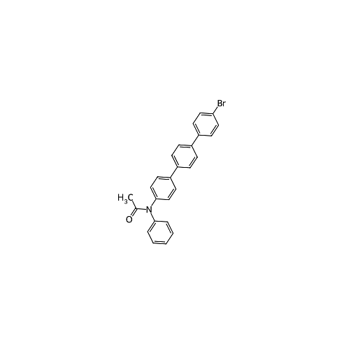 CC(=O)N(c1ccccc1)c1ccc(-c2ccc(-c3ccc(Br)cc3)cc2)cc1